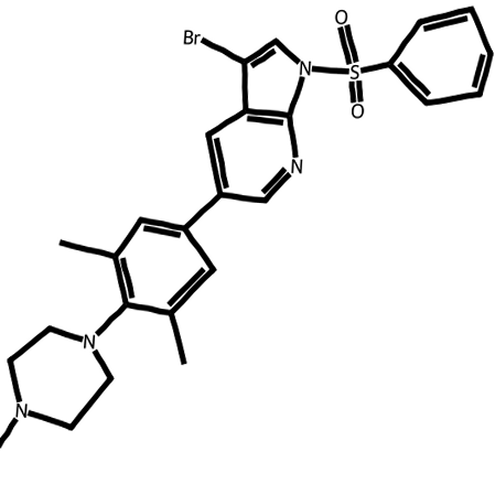 Cc1cc(-c2cnc3c(c2)c(Br)cn3S(=O)(=O)c2ccccc2)cc(C)c1N1CCN(C)CC1